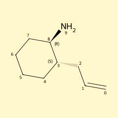 C=CC[C@@H]1CCCC[C@H]1N